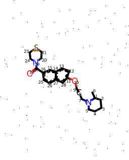 CC1CCCCN1CCCOc1ccc2cc(C(=O)N3CCSCC3)ccc2c1